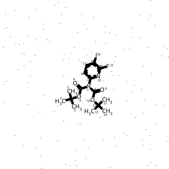 CC(C)(C)OC(=O)N(C(=O)OC(C)(C)C)c1ccc(I)c(F)n1